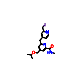 CNC(=O)c1cc(COC(C)C)cc(Cc2ccnc(CI)c2)n1